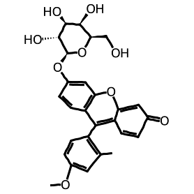 COc1ccc(-c2c3ccc(=O)cc-3oc3cc(O[C@@H]4O[C@H](CO)[C@H](O)[C@H](O)[C@H]4O)ccc23)c(C)c1